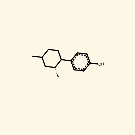 CC1CCC(c2ccc(O)cc2)[C@H](C)C1